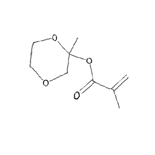 C=C(C)C(=O)OC1(C)COCCO1